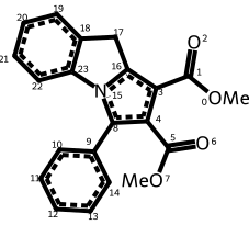 COC(=O)c1c(C(=O)OC)c(-c2ccccc2)n2c1Cc1ccccc1-2